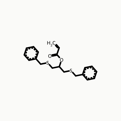 C=CC(=O)OC(CSCc1ccccc1)CSCc1ccccc1